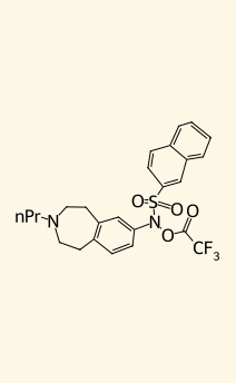 CCCN1CCc2ccc(N(OC(=O)C(F)(F)F)S(=O)(=O)c3ccc4ccccc4c3)cc2CC1